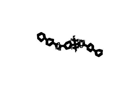 FC(F)(F)C(c1ccc(-c2nnc(-c3ccc(-c4ccccc4)cc3)o2)cc1)(c1nnc(-c2ccc(-c3ccccc3)cc2)o1)C(F)(F)F